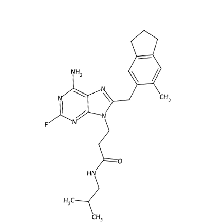 Cc1cc2c(cc1Cc1nc3c(N)nc(F)nc3n1CCC(=O)NCC(C)C)CCC2